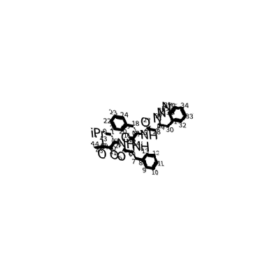 CC(C)C[C@H](NC(=O)[C@H](Cc1ccccc1)NC(=O)[C@H](Cc1ccccc1)NC(=O)C[C@@H](Cc1ccccc1)N=[N+]=[N-])C(=O)[C@@]1(C)CO1